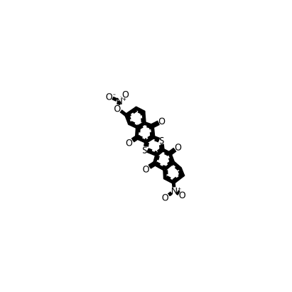 O=c1c2ccc(O[N+](=O)[O-])cc2c(=O)c2sc3c(=O)c4cc([N+](=O)[O-])ccc4c(=O)c3sc12